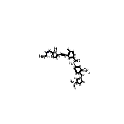 Cc1ccc(C(=O)Nc2ccc(CN3CC[C@@H](N(C)C)C3)c(C(F)(F)F)c2)cc1C#Cc1cnc(/C=C\C=N)[nH]1